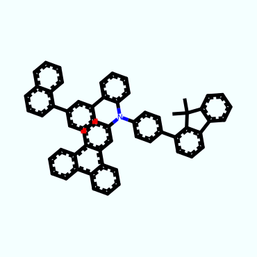 CC1(C)c2ccccc2-c2cccc(-c3ccc(N(c4ccc5c6ccccc6c6ccccc6c5c4)c4ccccc4-c4cccc(-c5cccc6ccccc56)c4)cc3)c21